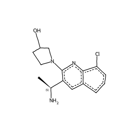 C[C@H](N)c1cc2cccc(Cl)c2nc1N1CCC(O)C1